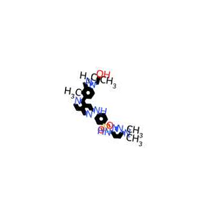 Cc1c(-c2nccc3cnc(Nc4ccc(S(=O)(=O)Nc5ccc(N(C)C)nn5)cc4)cc23)ccc2c1cnn2CC(C)(C)O